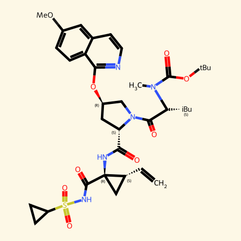 C=C[C@@H]1C[C@]1(NC(=O)[C@@H]1C[C@@H](Oc2nccc3cc(OC)ccc23)CN1C(=O)C([C@@H](C)CC)N(C)C(=O)OC(C)(C)C)C(=O)NS(=O)(=O)C1CC1